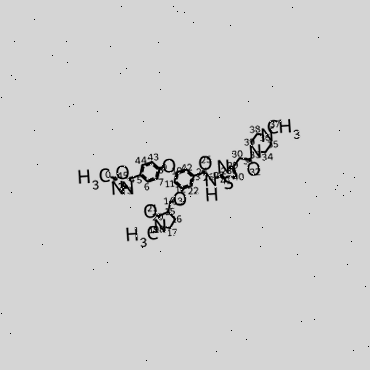 Cc1nnc(-c2ccc(Oc3cc(OCC4CCN(C)C4=O)cc(C(=O)Nc4nc(CC(=O)N5CCN(C)CC5)cs4)c3)cc2)o1